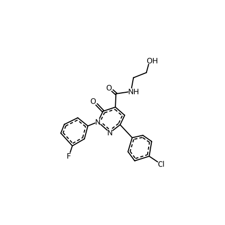 O=C(NCCO)c1cc(-c2ccc(Cl)cc2)nn(-c2cccc(F)c2)c1=O